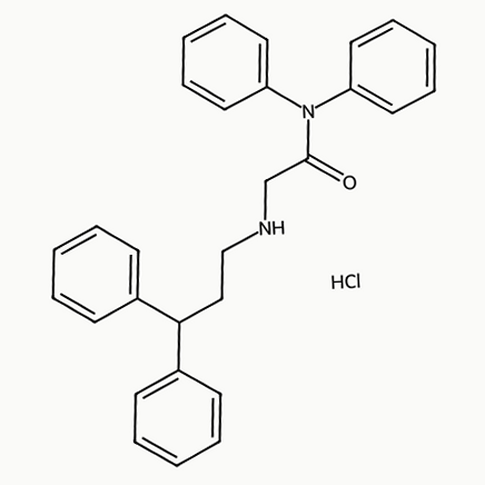 Cl.O=C(CNCCC(c1ccccc1)c1ccccc1)N(c1ccccc1)c1ccccc1